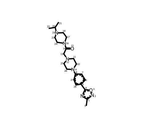 Cc1noc(-c2ccc(N3CCN(CC(=O)N4CCN(C(C)C)CC4)CC3)cc2)n1